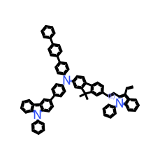 C=Cc1c(/C=C/c2ccc3c(c2)C(C)(C)c2cc(N(c4ccc(-c5ccc(-c6ccccc6)cc5)cc4)c4ccc(-c5ccc6c(c5)c5ccccc5n6-c5ccccc5)cc4)ccc2-3)n(-c2ccccc2)c2ccccc12